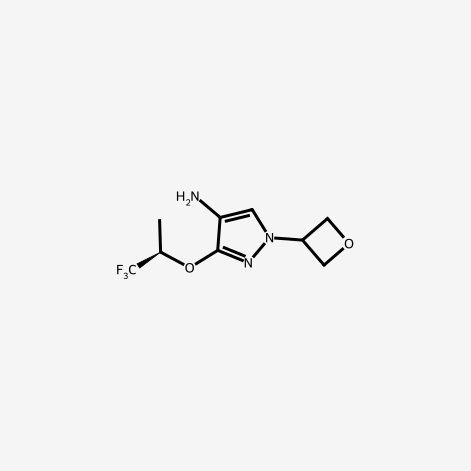 C[C@@H](Oc1nn(C2COC2)cc1N)C(F)(F)F